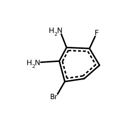 Nc1c(F)ccc(Br)c1N